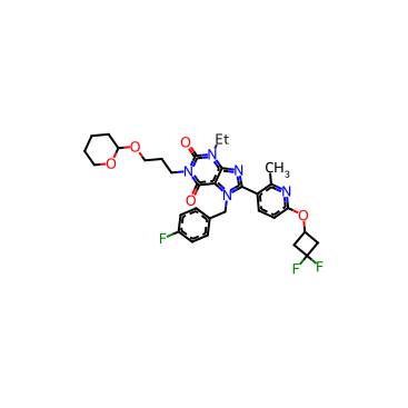 CCn1c(=O)n(CCCOC2CCCCO2)c(=O)c2c1nc(-c1ccc(OC3CC(F)(F)C3)nc1C)n2Cc1ccc(F)cc1